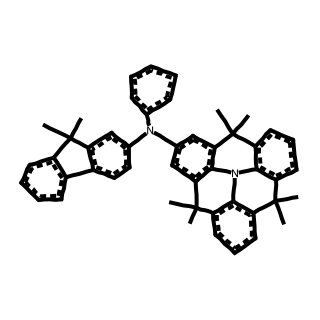 CC1(C)c2ccccc2-c2ccc(N(c3ccccc3)c3cc4c5c(c3)C(C)(C)c3cccc6c3N5c3c(cccc3C4(C)C)C6(C)C)cc21